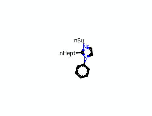 CCCCCCCc1n(-c2ccccc2)cc[n+]1CCCC